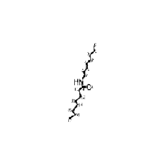 CCCCCCCCNC(=O)CCCCCCC